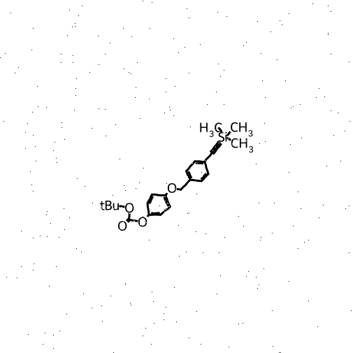 CC(C)(C)OC(=O)Oc1ccc(OCc2ccc(C#C[Si](C)(C)C)cc2)cc1